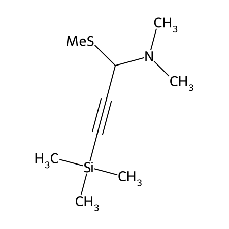 CSC(C#C[Si](C)(C)C)N(C)C